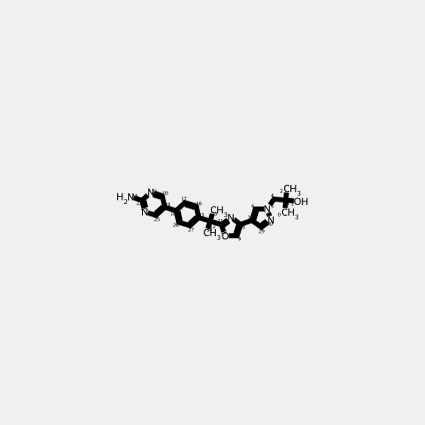 CC(C)(O)Cn1cc(-c2coc(C(C)(C)c3ccc(-c4cnc(N)nc4)cc3)n2)cn1